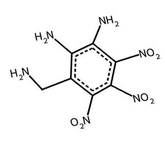 NCc1c(N)c(N)c([N+](=O)[O-])c([N+](=O)[O-])c1[N+](=O)[O-]